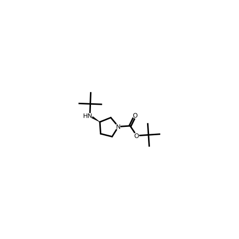 CC(C)(C)N[C@@H]1CCN(C(=O)OC(C)(C)C)C1